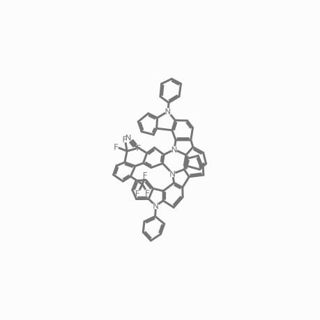 N#Cc1cc(-n2c3ccccc3c3ccc4c(c5ccccc5n4-c4ccccc4)c32)c(-n2c3ccccc3c3ccc4c(c5ccccc5n4-c4ccccc4)c32)cc1-c1c(C(F)(F)F)cccc1C(F)(F)F